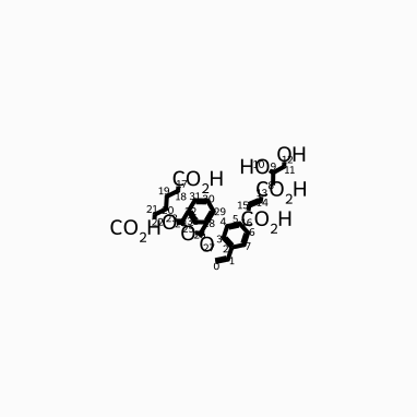 C=Cc1ccccc1.CC(O)CO.O=C(O)C=CC(=O)O.O=C(O)CCCCC(=O)O.O=C1OC(=O)c2cccc1c2